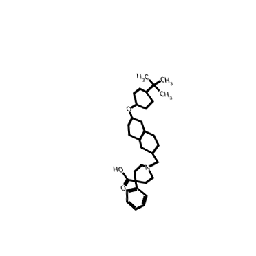 CC(C)(C)C1CCC(OC2CCC3CC(CN4CCC(C(=O)O)(c5ccccc5)CC4)CCC3C2)CC1